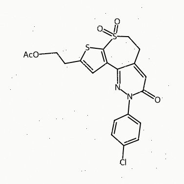 CC(=O)OCCc1cc2c(s1)S(=O)(=O)CCc1cc(=O)n(-c3ccc(Cl)cc3)nc1-2